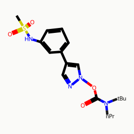 CCCN(C(=O)On1cc(-c2cccc(NS(C)(=O)=O)c2)cn1)C(C)(C)C